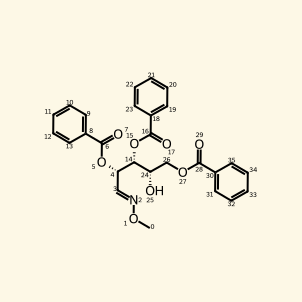 CON=C[C@H](OC(=O)c1ccccc1)[C@H](OC(=O)c1ccccc1)[C@@H](O)COC(=O)c1ccccc1